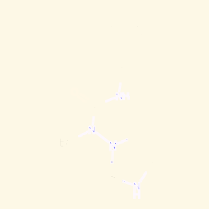 CCN(C(=O)Nc1ccccc1)N1CCNC1